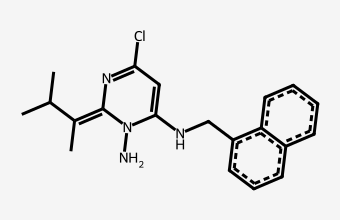 C/C(=C1/N=C(Cl)C=C(NCc2cccc3ccccc23)N1N)C(C)C